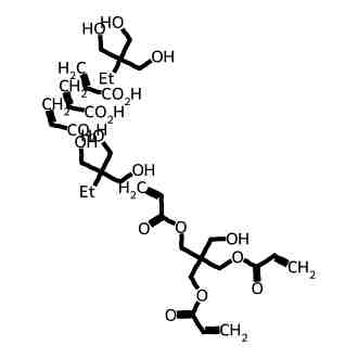 C=CC(=O)O.C=CC(=O)O.C=CC(=O)O.C=CC(=O)OCC(CO)(COC(=O)C=C)COC(=O)C=C.CCC(CO)(CO)CO.CCC(CO)(CO)CO